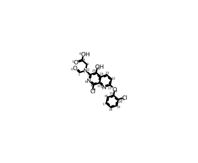 O=CN(CC(=O)O)c1nc(Cl)c2nc(Oc3ccccc3Cl)ccc2c1O